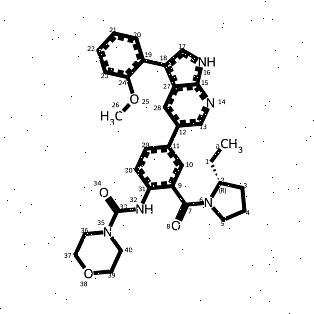 CC[C@@H]1CCCN1C(=O)c1cc(-c2cnc3[nH]cc(-c4ccccc4OC)c3c2)ccc1NC(=O)N1CCOCC1